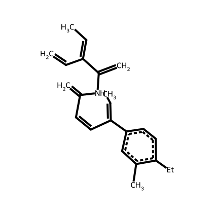 C=C/C(=C\C)C(=C)NC(=C)/C=C\C(=C/C)c1ccc(CC)c(C)c1